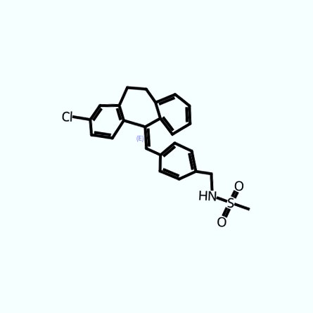 CS(=O)(=O)NCc1ccc(/C=C2\c3ccccc3CCc3cc(Cl)ccc32)cc1